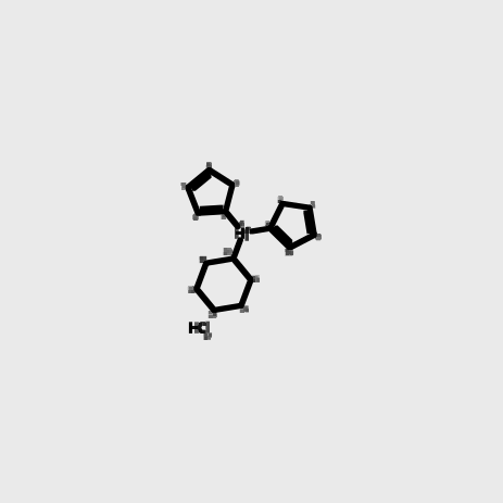 C1=CC[C]([Hf]([C]2=CC=CC2)[CH]2CCCCC2)=C1.Cl